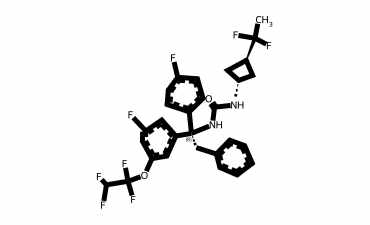 CC(F)(F)[C@H]1C[C@H](NC(=O)N[C@](Cc2ccccc2)(c2ccc(F)cc2)c2cc(F)cc(OC(F)(F)C(F)F)c2)C1